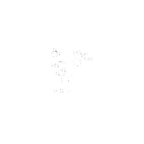 CCn1nc(C)cc1C(=O)Nc1nc2cc(C(N)=O)cc(OC)c2n1CCc1ccc(P(=O)(O)O)cc1